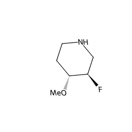 CO[C@@H]1CCNC[C@H]1F